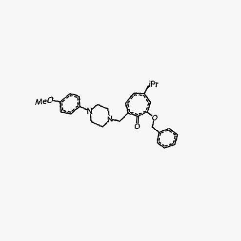 COc1ccc(N2CCN(Cc3ccc(C(C)C)cc(OCc4ccccc4)c3=O)CC2)cc1